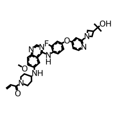 C=CC(=O)N1CCC(Nc2cc3c(Nc4ccc(Oc5ccnc(N6CC(C(C)(C)O)C6)c5)cc4F)ncnc3cc2OC)CC1